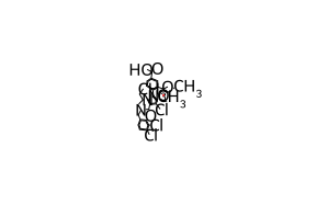 CCCCN(Cc1ccc(Cl)c(Cl)c1)C(=O)c1nn(-c2ccc(C(=O)O)cc2C(=O)OCC)c(C)c1Cl